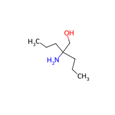 CCCC(N)(CO)CCC